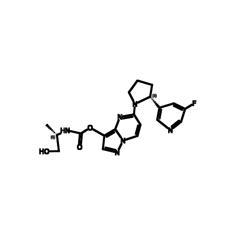 C[C@@H](CO)NC(=O)Oc1cnn2ccc(N3CCC[C@@H]3c3cncc(F)c3)nc12